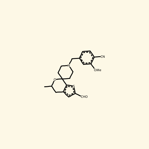 COc1cc(CN2CCC3(CC2)OC(C)Cc2cc(C=O)sc23)ccc1C#N